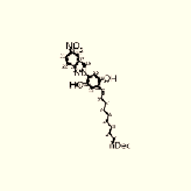 CCCCCCCCCCCCCCCCCCSc1cc(O)c(-n2cc3cc([N+](=O)[O-])ccc3n2)cc1O